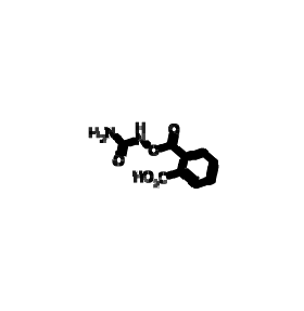 NC(=O)NOC(=O)c1ccccc1C(=O)O